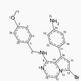 COc1ccc(CNc2nccn3c(Br)cc(-c4ccc(N)cc4)c23)cc1